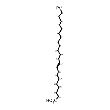 CC(C)CCCCCCCCCCCCC=CCCCCCCCC(=O)O